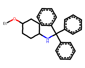 CCOC1CCC(NC(c2ccccc2)(c2ccccc2)c2ccccc2)CC1